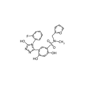 CN(Cc1ccco1)S(=O)(=O)c1cc(-c2nnc(O)n2-c2ccccc2F)c(O)cc1O